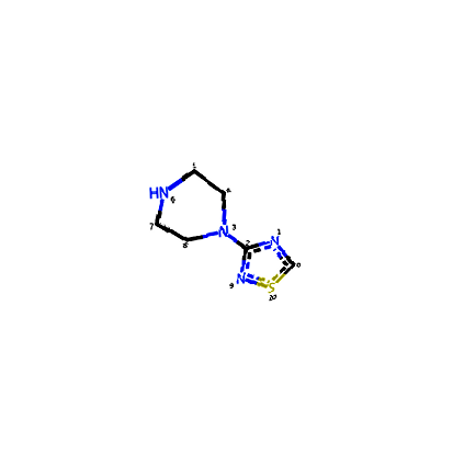 c1nc(N2CCNCC2)ns1